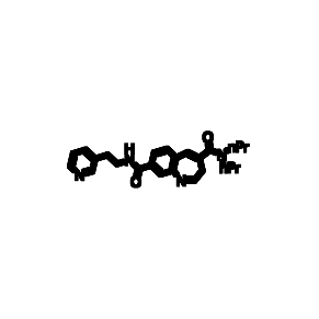 CCCN(CCC)C(=O)C1=Cc2ccc(C(=O)NCCc3cccnc3)cc2N=CC1